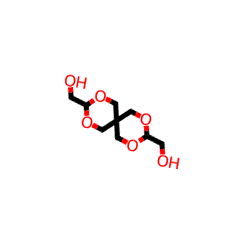 OCC1OCC2(CO1)COC(CO)OC2